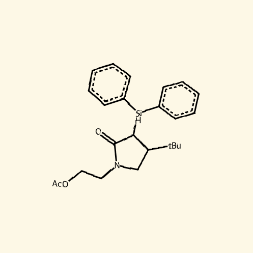 CC(=O)OCCN1CC(C(C)(C)C)C([SiH](c2ccccc2)c2ccccc2)C1=O